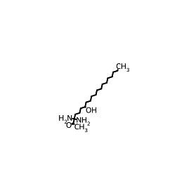 CCCCCCCCCCCCCC(O)CCCC(N)(N)C(C)=O